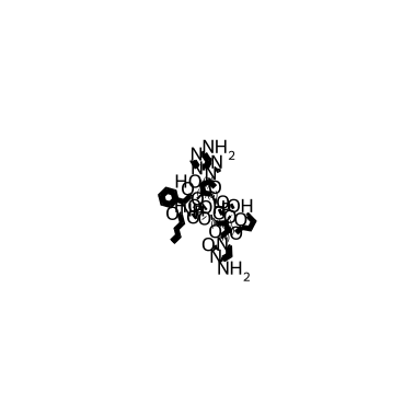 C=CCCC(=O)NC(C(=O)O[C@H]1[C@@H](O)[C@H](n2cnc3c(N)ncnc32)O[C@H]1COP(=O)(O)O[C@H]1[C@@H](OC2CCCO2)[C@H](n2ccc(N)nc2=O)O[C@@H]1COP(=O)(O)O)c1ccccc1